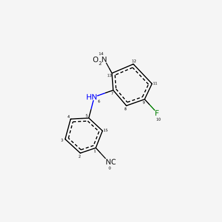 [C-]#[N+]c1cccc(Nc2cc(F)ccc2[N+](=O)[O-])c1